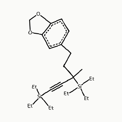 CC[Si](C#CC(C)(CCc1ccc2c(c1)OCO2)[Si](CC)(CC)CC)(CC)CC